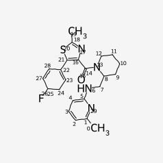 Cc1cccc(NCC2CCCCN2C(=O)c2nc(C)sc2C2=CCC(F)C=C2)n1